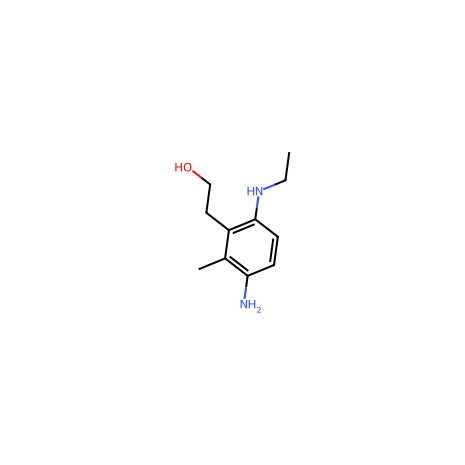 CCNc1ccc(N)c(C)c1CCO